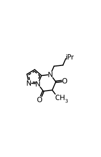 CC(C)CCN1C(=O)C(C)C(=O)n2nccc21